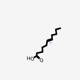 CCCC/C=C/CCCCC(=O)O